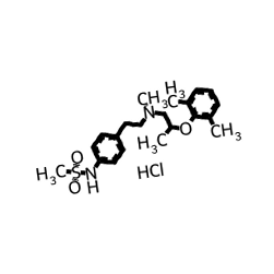 Cc1cccc(C)c1OC(C)CN(C)CCc1ccc(NS(C)(=O)=O)cc1.Cl